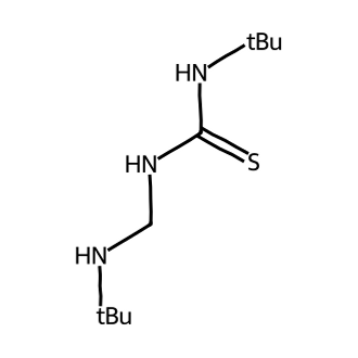 CC(C)(C)NCNC(=S)NC(C)(C)C